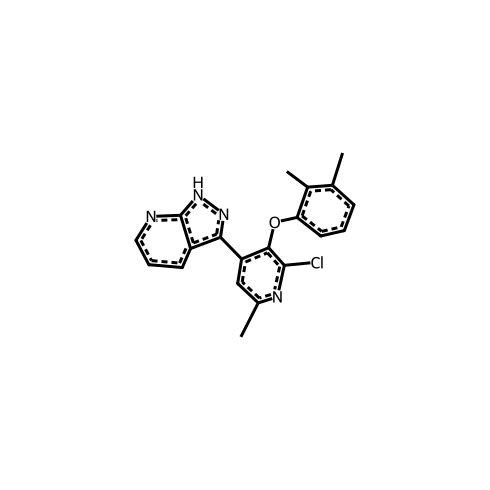 Cc1cc(-c2n[nH]c3ncccc23)c(Oc2cccc(C)c2C)c(Cl)n1